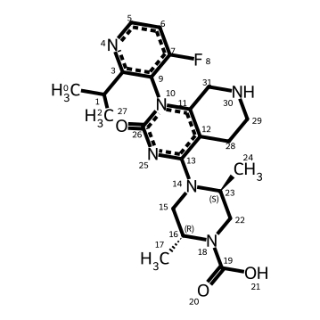 CC(C)c1nccc(F)c1-n1c2c(c(N3C[C@@H](C)N(C(=O)O)C[C@@H]3C)nc1=O)CCNC2